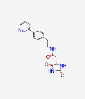 O=C(CC1NC(=O)NC1=O)NCCc1ccc(-c2cccnc2)cc1